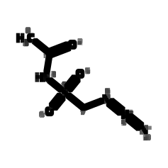 CC(=O)NS(=O)(=O)CN=[N+]=[N-]